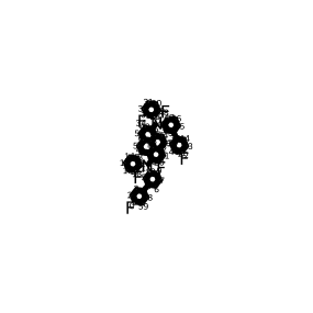 Fc1ccc(-c2ccc(F)c(N(c3ccccc3F)c3ccc4ccc5c(N(c6ccccc6F)c6cc(-c7ccc(F)cc7)ccc6F)ccc6ccc3c4c65)c2)cc1